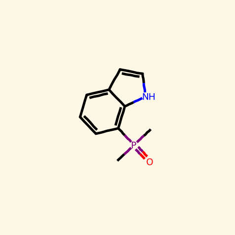 CP(C)(=O)c1cccc2cc[nH]c12